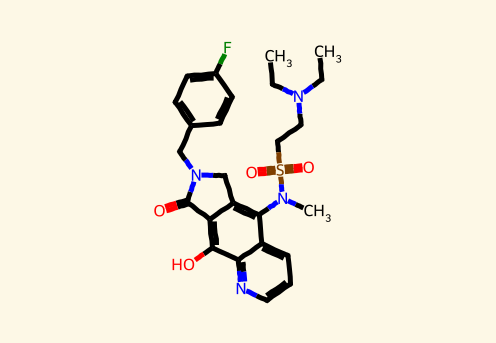 CCN(CC)CCS(=O)(=O)N(C)c1c2c(c(O)c3ncccc13)C(=O)N(Cc1ccc(F)cc1)C2